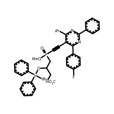 COP(=O)(C#Cc1c(-c2ccc(F)cc2)nc(-c2ccccc2)nc1C(C)C)CC(CC(=O)O)O[Si](c1ccccc1)(c1ccccc1)C(C)(C)C